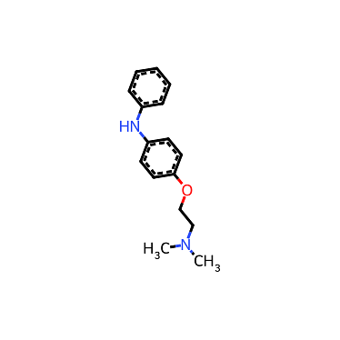 CN(C)CCOc1ccc(Nc2ccccc2)cc1